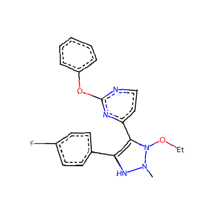 CCON1C(c2ccnc(Oc3ccccc3)n2)=C(c2ccc(F)cc2)NN1C